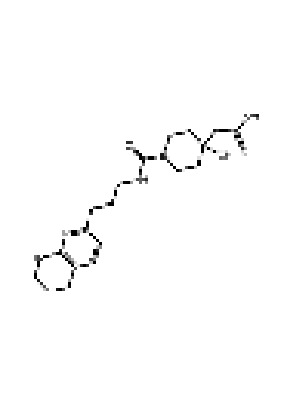 O=C(O)CC1(O)CCN(C(=O)NCCCc2ccc3c(n2)NCCC3)CC1